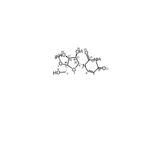 CC(C)O[C@]1(CO)O[C@@H](n2ccc(=O)[nH]c2=O)[C@H](O)[C@@H]1O